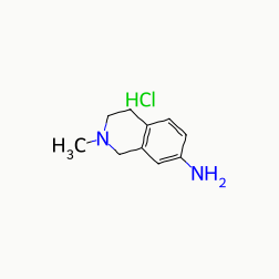 CN1CCc2ccc(N)cc2C1.Cl